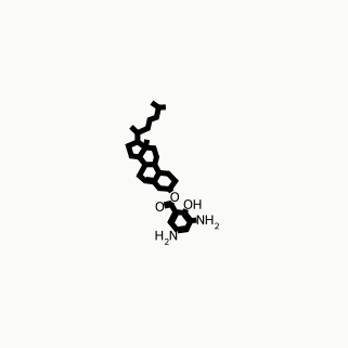 CC(C)CCCC(C)C1CCC2C3CC=C4CC(OC(=O)c5cc(N)cc(N)c5O)CCC4C3CCC12C